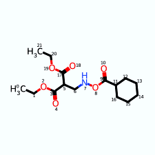 CCOC(=O)C(CNOC(=O)C1CCCCC1)C(=O)OCC